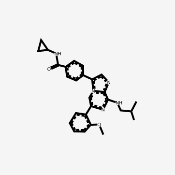 COc1ccccc1-c1cn2c(-c3ccc(C(=O)NC4CC4)cc3)cnc2c(NCC(C)C)n1